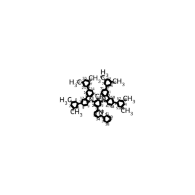 Cc1cc(C)cc(-c2ccc3c(c2)c2cc(-c4cc(C)cc(C)c4)ccc2n3-c2cc(-c3cccc(-c4ccccc4)n3)cc(-n3c4ccc(-c5cc(C)cc(C)c5)cc4c4cc(-c5cc(C)cc(C)c5)ccc43)c2C(F)(F)F)c1